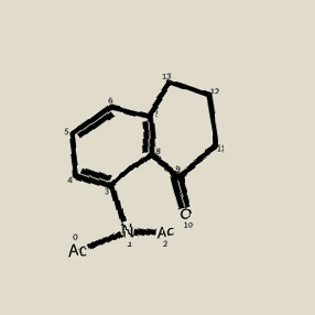 CC(=O)N(C(C)=O)c1cccc2c1C(=O)CCC2